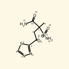 CC(CC(=O)c1nncs1)(C(N)=O)S(N)(=O)=O